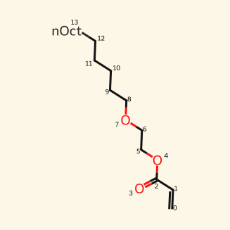 C=CC(=O)OCCOCCCCCCCCCCCCC